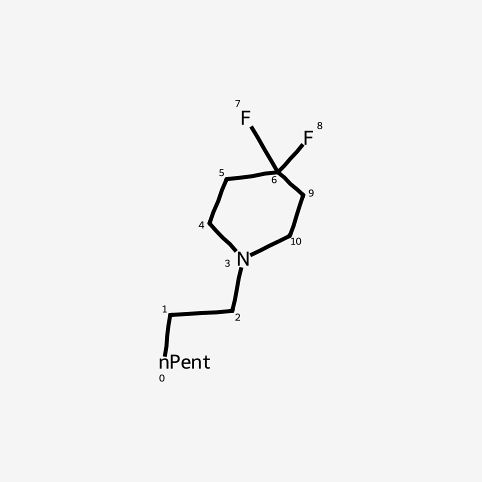 CCCCCCCN1CCC(F)(F)CC1